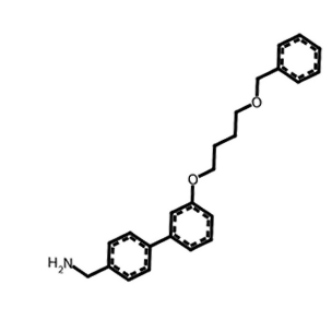 NCc1ccc(-c2cccc(OCCCCOCc3ccccc3)c2)cc1